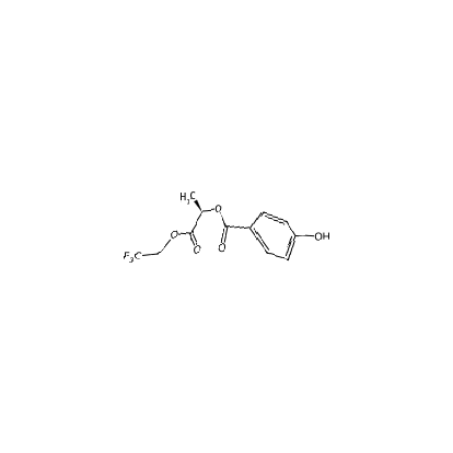 C[C@@H](OC(=O)c1ccc(O)cc1)C(=O)OCC(F)(F)F